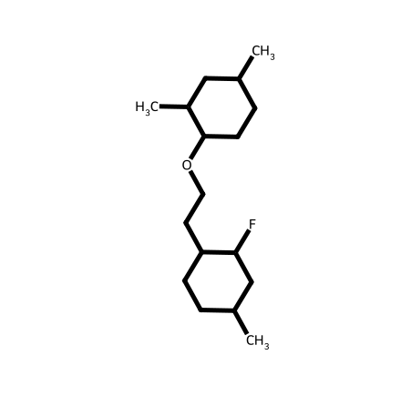 CC1CCC(OCCC2CCC(C)CC2F)C(C)C1